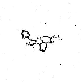 C=C1CCNc2c(cccc2-c2cnn(-c3ccccn3)c2)N1